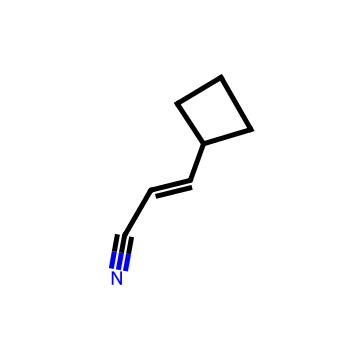 N#CC=CC1CCC1